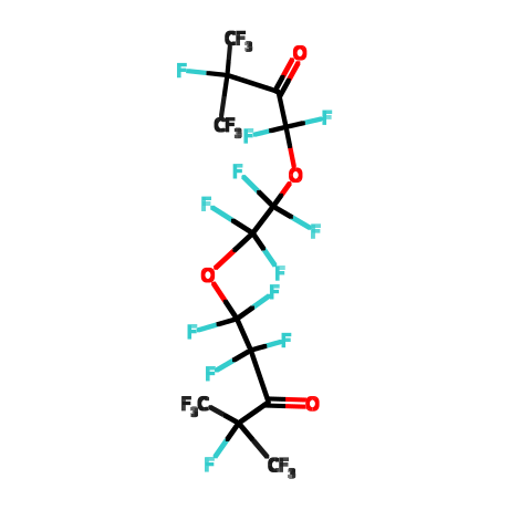 O=C(C(F)(F)OC(F)(F)C(F)(F)OC(F)(F)C(F)(F)C(=O)C(F)(C(F)(F)F)C(F)(F)F)C(F)(C(F)(F)F)C(F)(F)F